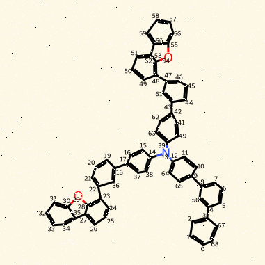 c1ccc(-c2cccc(-c3ccc(N(c4ccc(-c5cccc(-c6cccc7c6oc6ccccc67)c5)cc4)c4ccc(-c5cccc(-c6cccc7c6oc6ccccc67)c5)cc4)cc3)c2)cc1